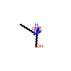 CCCCCCCCCCCCN(C)C(CCCCCCCCC(C)O)N1CN(C)c2c1n(C)c(=O)[nH]c2=O